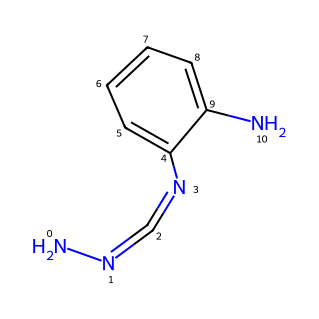 NN=C=Nc1ccccc1N